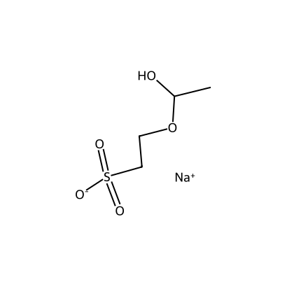 CC(O)OCCS(=O)(=O)[O-].[Na+]